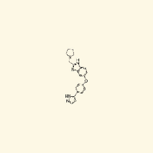 c1cc(-c2ccc(Oc3ccc4[nH]c(CN5CCCC5)nc4c3)cc2)[nH]n1